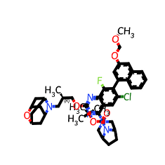 COCOc1cc(-c2c(Cl)cc3c(N4CC5CCC(C4)N5C(=O)OC(C)(C)C)nc(OC[C@H](C)CN4C5CC6CC4CC(C5)O6)nc3c2F)c2ccccc2c1